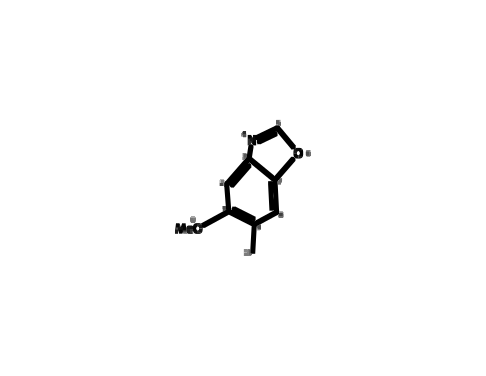 COc1cc2n[c]oc2cc1C